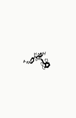 O=C(NC1CCNCC1)c1n[nH]cc1NCC(=O)c1c(Cl)cccc1Cl